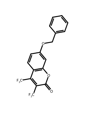 O=c1oc2cc(OCc3ccccc3)ccc2c(C(F)(F)F)c1C(F)(F)F